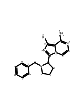 Nc1nccn2c(C3CCCN3Cc3ccccc3)nc(Br)c12